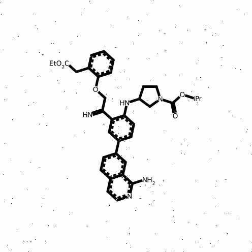 CCOC(=O)Cc1ccccc1OCC(=N)c1cc(-c2ccc3ccnc(N)c3c2)ccc1NC1CCN(C(=O)OC(C)C)C1